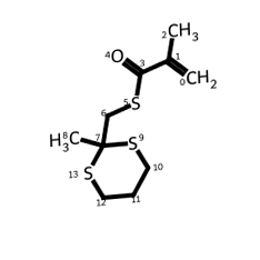 C=C(C)C(=O)SCC1(C)SCCCS1